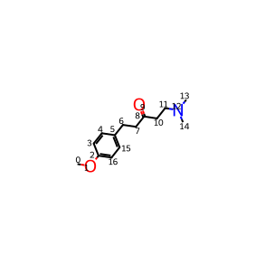 COc1ccc(CCC(=O)CCN(C)C)cc1